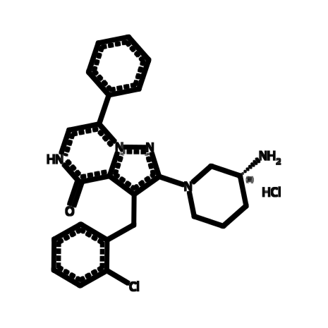 Cl.N[C@@H]1CCCN(c2nn3c(-c4ccccc4)c[nH]c(=O)c3c2Cc2ccccc2Cl)C1